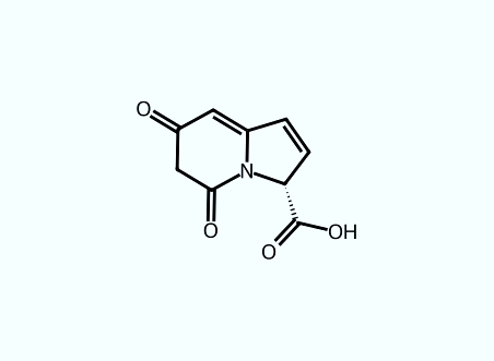 O=C1C=C2C=C[C@H](C(=O)O)N2C(=O)C1